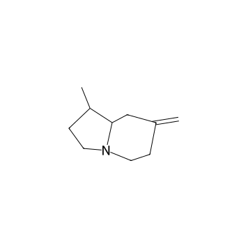 C=C1CCN2CCC(C)C2C1